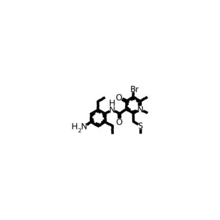 CCc1cc(N)cc(CC)c1NC(=O)c1c(CSC)n(C)c(C)c(Br)c1=O